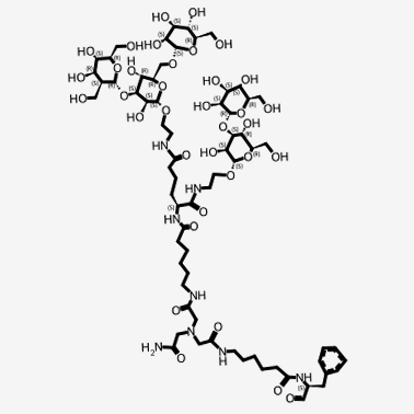 NC(=O)CN(CC(=O)NCCCCCC(=O)N[C@H](C=O)Cc1ccccc1)CC(=O)NCCCCCC(=O)N[C@@H](CCCC(=O)NCCO[C@H]1O[C@H](CO[C@H]2O[C@H](CO)[C@@H](O)[C@H](O)[C@@H]2O)[C@@H](O)[C@H](O[C@H]2O[C@H](CO)[C@@H](O)[C@H](O)[C@@H]2CO)[C@@H]1O)C(=O)NCCO[C@H]1O[C@H](CO)[C@@H](O)[C@H](O[C@H]2O[C@H](CO)[C@@H](O)[C@H](O)[C@@H]2O)[C@@H]1O